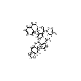 CN1CCN(C(=O)c2cn(C(Cc3ccc4c(c3)OCO4)c3[nH]cnc3N)cc2-c2cccc3ccccc23)CC1